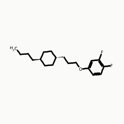 CCCC[C@H]1CC[C@H](CCCOc2ccc(F)c(F)c2)CC1